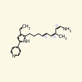 C=Cc1cc(-c2ccncc2)[nH]c1CCC/C=C/C=C(C)\C=C/N